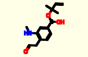 C=CC(C)(C)OB(O)c1ccc(CC=O)c(NC)c1